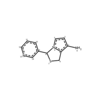 Nc1ccn2c1CSC2c1cccnc1